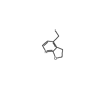 ICc1ccnc2c1CCO2